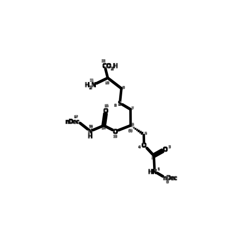 CCCCCCCCCCNC(=O)OC[C@@H](CSCC(N)C(=O)O)OC(=O)NCCCCCCCCCC